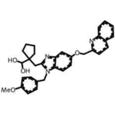 COc1ccc(Cn2c(CC3(C(O)O)CCCC3)nc3cc(OCc4ccc5ccccc5n4)ccc32)cc1